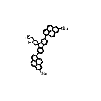 CC(C)(C)c1cc2ccc3ccc(-c4ccc5c(c4)C(CS)(CCCS)c4cc(-c6ccc7ccc8cc(C(C)(C)C)cc9ccc6c7c89)ccc4-5)c4ccc(c1)c2c34